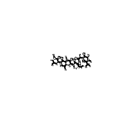 CC[C@H](C)[C@@H](NC(=O)[C@@H](C)NC(=O)[C@@H](C)N(C)C(=O)C(C)C)C(=O)N(C)[C@@H](C)C(=O)N(C)[C@@H](CC(C)C)C(=O)N[C@@H](CC(C)C)C(=O)OC